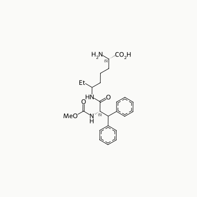 CCC(CCC[C@H](N)C(=O)O)NC(=O)[C@@H](NC(=O)OC)C(c1ccccc1)c1ccccc1